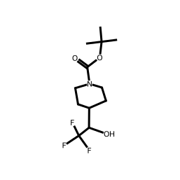 CC(C)(C)OC(=O)N1CCC(C(O)C(F)(F)F)CC1